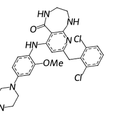 COc1cc(N2CCNCC2)ccc1Nc1cc(Cc2c(Cl)cccc2Cl)nc2c1C(=O)NCCN2